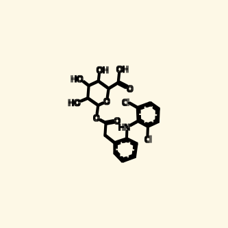 O=C(Cc1ccccc1Nc1c(Cl)cccc1Cl)OC1OC(C(=O)O)C(O)C(O)C1O